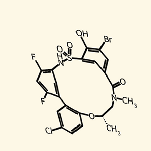 C[C@H]1CN(C)C(=O)c2cc(Br)c(O)c(c2)S(=O)(=O)Nc2cc(c(F)cc2F)-c2cc(Cl)ccc2O1